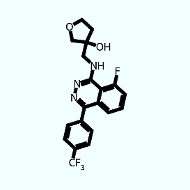 OC1(CNc2nnc(-c3ccc(C(F)(F)F)cc3)c3cccc(F)c23)CCOC1